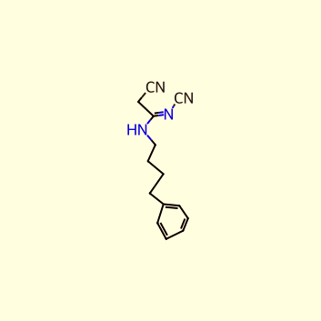 N#CCC(=NC#N)NCCCCc1ccccc1